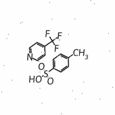 Cc1ccc(S(=O)(=O)O)cc1.FC(F)(F)c1ccncc1